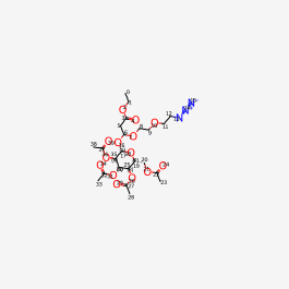 CCOC(=O)CC(OCCOCCN=[N+]=[N-])O[C@@H]1O[C@H](COC(C)=O)[C@@H](OC(C)=O)[C@H](OC(C)=O)[C@H]1OC(C)=O